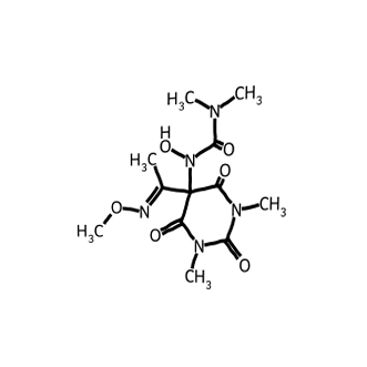 CO/N=C(\C)C1(N(O)C(=O)N(C)C)C(=O)N(C)C(=O)N(C)C1=O